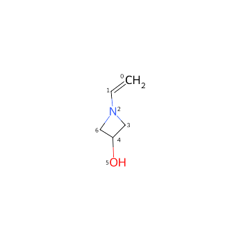 C=CN1CC(O)C1